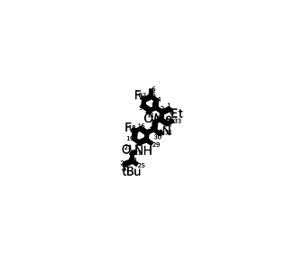 CC/C=C(/c1cc(C)c(F)cc1OC)c1cc(-c2cc(F)cc(NC(=O)/C(C)=C/C(C)(C)C)c2C)cnc1C